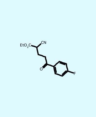 CCOC(=O)C(C#N)CCC(=O)c1ccc(F)cc1